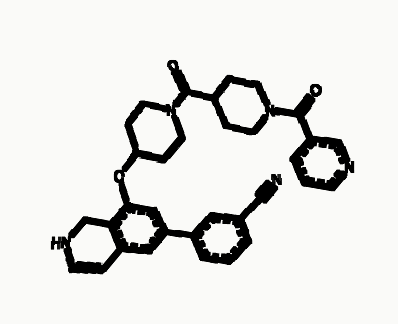 N#Cc1cccc(-c2cc3c(c(OC4CCN(C(=O)C5CCN(C(=O)c6cccnc6)CC5)CC4)c2)CNC=C3)c1